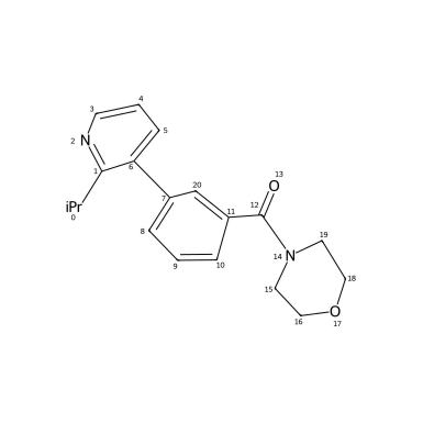 CC(C)c1ncccc1-c1cccc(C(=O)N2CCOCC2)c1